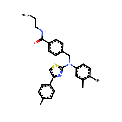 Cc1cc(N(Cc2ccc(C(=O)NCCC(=O)O)cc2)c2nc(-c3ccc(C(F)(F)F)cc3)cs2)ccc1C(C)C